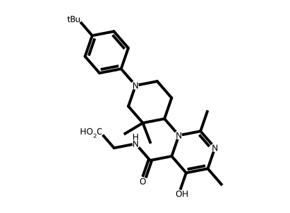 CC1=NC(C)=C(O)C(C(=O)NCC(=O)O)N1C1CCN(c2ccc(C(C)(C)C)cc2)CC1(C)C